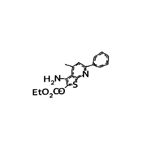 CCOC(=O)Oc1sc2nc(-c3ccccc3)cc(C)c2c1N